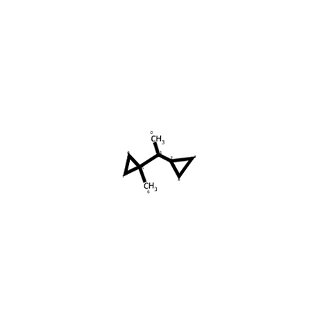 CC(C1CC1)C1(C)CC1